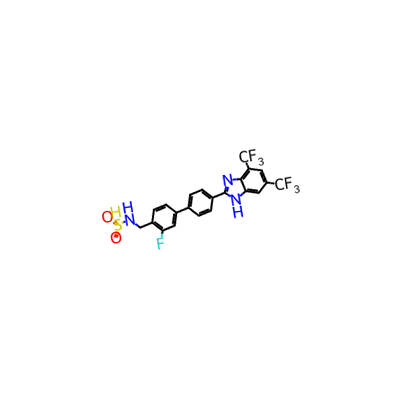 O=[SH](=O)NCc1ccc(-c2ccc(-c3nc4c(C(F)(F)F)cc(C(F)(F)F)cc4[nH]3)cc2)cc1F